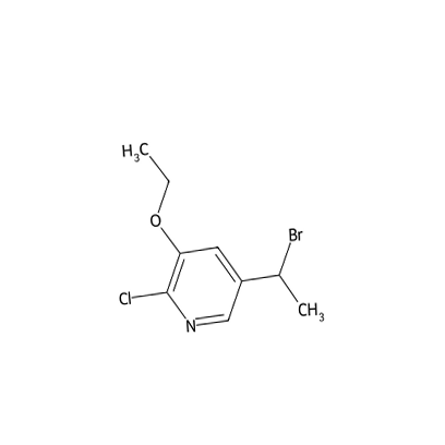 CCOc1cc(C(C)Br)cnc1Cl